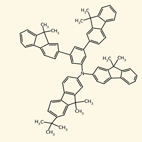 CC(C)(C)c1ccc2c(c1)C(C)(C)c1cc(N(c3cc(-c4ccc5c(c4)C(C)(C)c4ccccc4-5)cc(-c4ccc5c(c4)C(C)(C)c4ccccc4-5)c3)c3ccc4c(c3)C(C)(C)c3ccccc3-4)ccc1-2